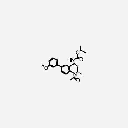 COc1cccc(-c2ccc3c(c2)[C@H](NC(=O)OC(C)C)C[C@H](C)N3C(C)=O)c1